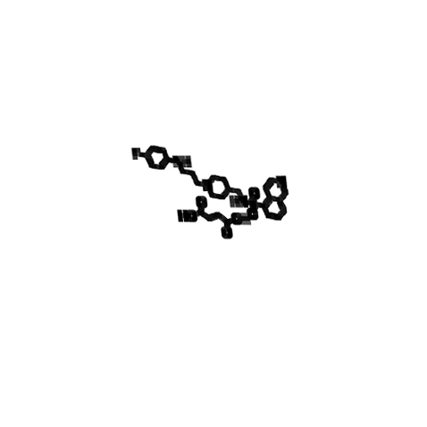 O=C(O)C=CC(=O)O.O=S(=O)(NCC1CCN(CCCNc2ccc(F)cc2)CC1)c1cccc2cnccc12